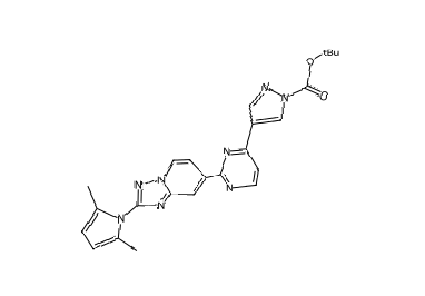 Cc1ccc(C)n1-c1nc2cc(-c3nccc(-c4cnn(C(=O)OC(C)(C)C)c4)n3)ccn2n1